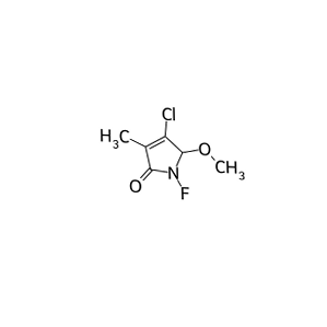 COC1C(Cl)=C(C)C(=O)N1F